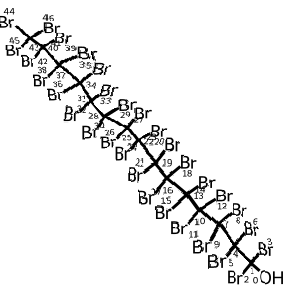 OC(Br)(Br)C(Br)(Br)C(Br)(Br)C(Br)(Br)C(Br)(Br)C(Br)(Br)C(Br)(Br)C(Br)(Br)C(Br)(Br)C(Br)(Br)C(Br)(Br)C(Br)(Br)C(Br)(Br)C(Br)(Br)C(Br)(Br)Br